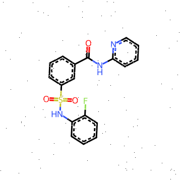 O=C(Nc1ccccn1)c1cccc(S(=O)(=O)Nc2ccccc2F)c1